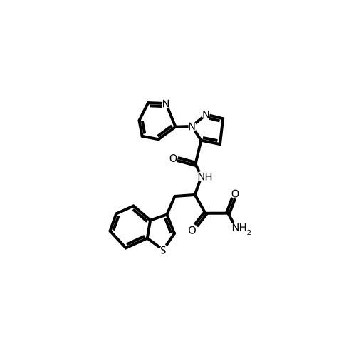 NC(=O)C(=O)C(Cc1csc2ccccc12)NC(=O)c1ccnn1-c1ccccn1